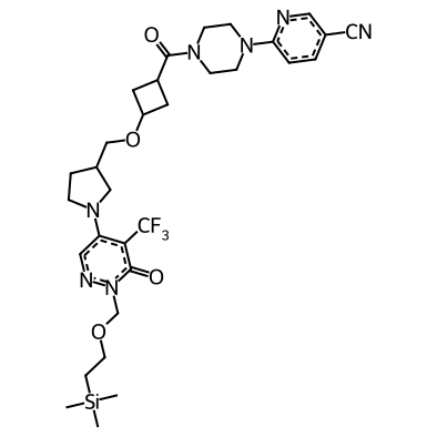 C[Si](C)(C)CCOCn1ncc(N2CCC(COC3CC(C(=O)N4CCN(c5ccc(C#N)cn5)CC4)C3)C2)c(C(F)(F)F)c1=O